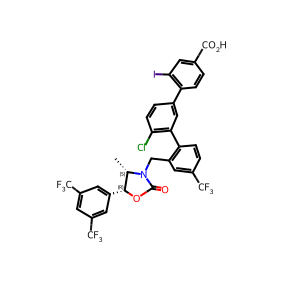 C[C@H]1[C@@H](c2cc(C(F)(F)F)cc(C(F)(F)F)c2)OC(=O)N1Cc1cc(C(F)(F)F)ccc1-c1cc(-c2ccc(C(=O)O)cc2I)ccc1Cl